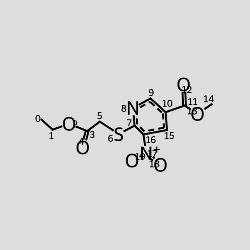 CCOC(=O)CSc1ncc(C(=O)OC)cc1[N+](=O)[O-]